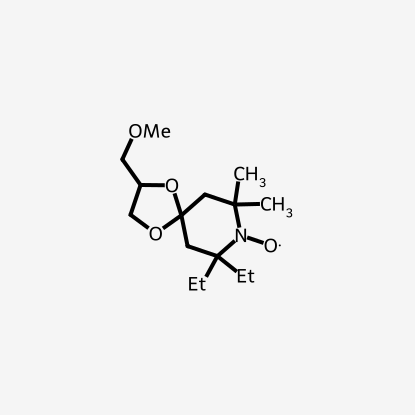 CCC1(CC)CC2(CC(C)(C)N1[O])OCC(COC)O2